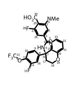 CNc1cc(C(=O)N[C@]2(c3ccc(OC(F)(F)F)c(F)c3)CCOc3cccnc32)cc(F)c1C(=O)O